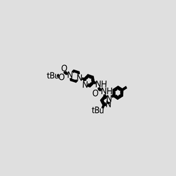 Cc1ccc(-n2nc(C(C)(C)C)cc2NC(=O)Nc2ccc(N3CCN(C(=O)OC(C)(C)C)CC3)nc2)cc1